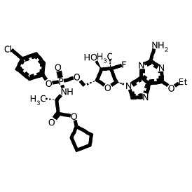 CCOc1nc(N)nc2c1ncn2[C@@H]1O[C@H](COP(=O)(N[C@@H](C)C(=O)OC2CCCC2)Oc2ccc(Cl)cc2)[C@@H](O)[C@@]1(C)F